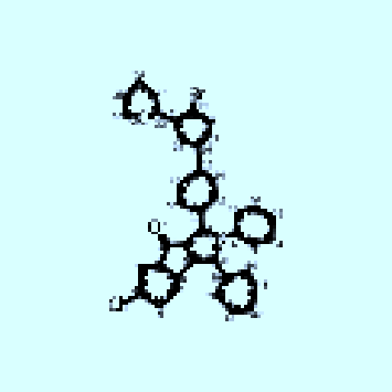 O=C1c2cc(Cl)ccc2-c2c1c(-c1ccc(-c3ccc(Br)c(-c4ccccc4)c3)cc1)n(-c1ccccc1)c2-c1ccccc1